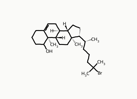 C[C@H](CCCC(C)(C)Br)[C@H]1CC[C@H]2[C@@H]3CC=C4CCCC(O)[C@]4(C)[C@H]3CC[C@]12C